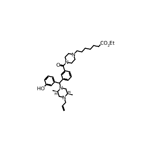 C=CCN1C[C@@H](C)N(C(c2cccc(O)c2)c2cccc(C(=O)N3CCN(CCCCCCC(=O)OCC)CC3)c2)C[C@H]1C